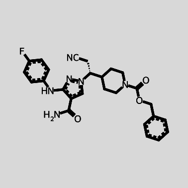 N#CC[C@H](C1CCN(C(=O)OCc2ccccc2)CC1)n1cc(C(N)=O)c(Nc2ccc(F)cc2)n1